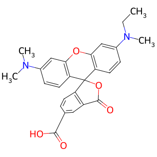 CCN(C)c1ccc2c(c1)Oc1cc(N(C)C)ccc1C21OC(=O)c2cc(C(=O)O)ccc21